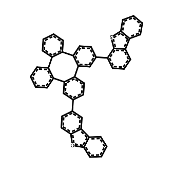 c1ccc2c(c1)-c1ccccc1-c1cc(-c3ccc4oc5ccccc5c4c3)ccc1-c1cc(-c3cccc4c3sc3ccccc34)ccc1-2